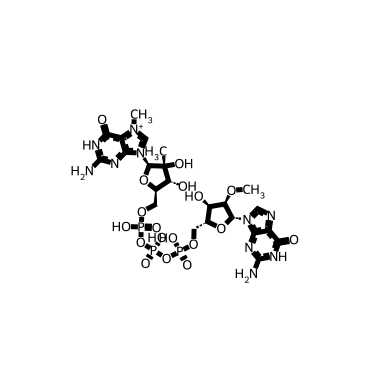 CO[C@@H]1[C@H](O)[C@@H](COP(=O)(O)OP(=O)(O)OP(=O)(O)OC[C@H]2O[C@@H](n3c[n+](C)c4c(=O)[nH]c(N)nc43)[C@](C)(O)[C@@H]2O)O[C@H]1n1cnc2c(=O)[nH]c(N)nc21